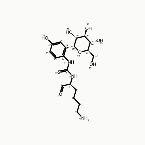 NCCCC[C@@H]([C]=O)NC(=S)Nc1ccc(O)cc1[C@H]1O[C@H](CO)[C@@H](O)[C@H](O)[C@H]1O